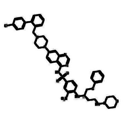 O=[N+]([O-])c1cc(S(=O)(=O)Nc2ncnc3cc(N4CCN(Cc5ccccc5-c5ccc(Cl)cc5)CC4)ccc23)ccc1N[C@H](CCNN1CCOCC1)CSc1ccccc1